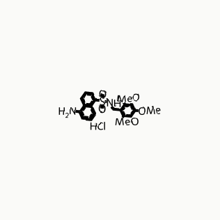 COc1cc(OC)c(CNS(=O)(=O)c2cccc3c(N)cccc23)c(OC)c1.Cl